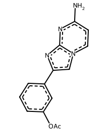 CC(=O)Oc1cccc(-c2cn3ccc(N)nc3n2)c1